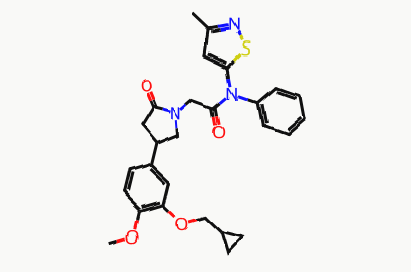 COc1ccc(C2CC(=O)N(CC(=O)N(c3ccccc3)c3cc(C)ns3)C2)cc1OCC1CC1